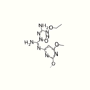 CCONC(N)=NN(OC)C(N)=Nc1cc(OC)nc(OC)n1